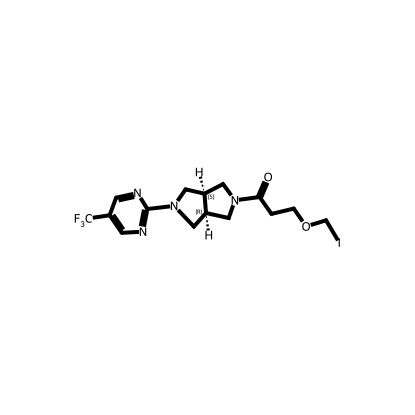 O=C(CCOCI)N1C[C@@H]2CN(c3ncc(C(F)(F)F)cn3)C[C@@H]2C1